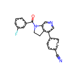 N#Cc1ccc(-c2cncc3c2CCN3C(=O)c2cccc(F)c2)cc1